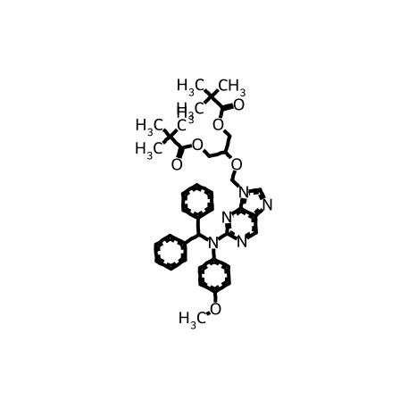 COc1ccc(N(c2ncc3ncn(COC(COC(=O)C(C)(C)C)COC(=O)C(C)(C)C)c3n2)C(c2ccccc2)c2ccccc2)cc1